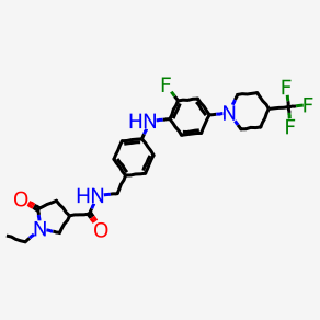 CCN1CC(C(=O)NCc2ccc(Nc3ccc(N4CCC(C(F)(F)F)CC4)cc3F)cc2)CC1=O